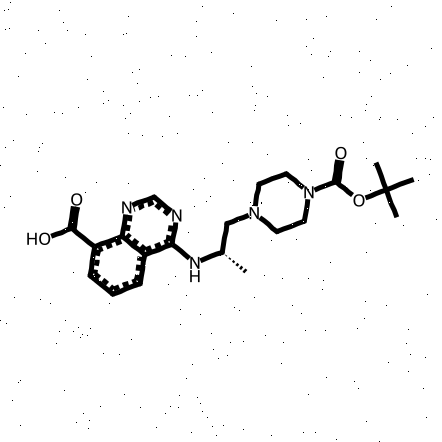 C[C@@H](CN1CCN(C(=O)OC(C)(C)C)CC1)Nc1ncnc2c(C(=O)O)cccc12